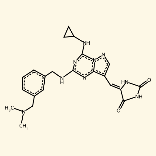 CN(C)Cc1cccc(CNc2nc(NC3CC3)n3ncc(/C=C4\NC(=O)NC4=O)c3n2)c1